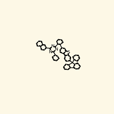 c1ccc(-c2nc(-c3ccc4ccccc4c3)nc(-c3ccccc3-c3ccc4c(c3)sc3cc(C5(c6ccccc6)c6ccccc6-c6ccccc65)ccc34)n2)cc1